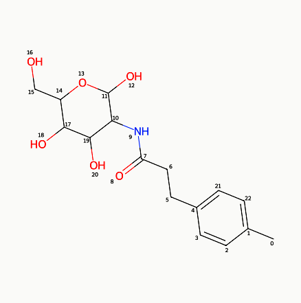 Cc1ccc(CCC(=O)NC2C(O)OC(CO)C(O)C2O)cc1